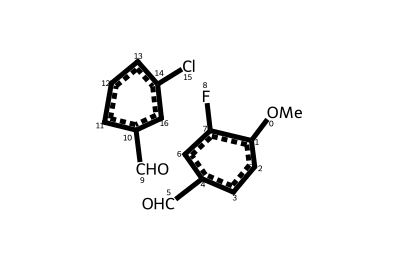 COc1ccc(C=O)cc1F.O=Cc1cccc(Cl)c1